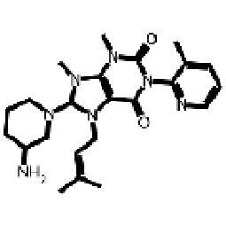 CC(C)=CCN1c2c(n(C)c(=O)n(-c3ncccc3C)c2=O)N(C)C1N1CCCC(N)C1